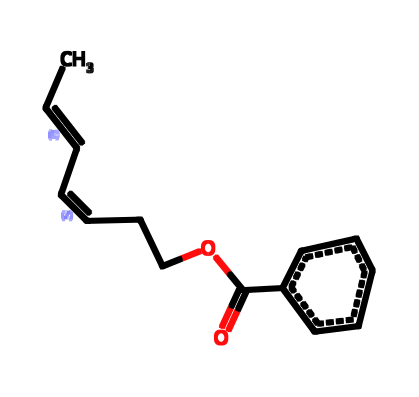 C/C=C/C=C\CCOC(=O)c1ccccc1